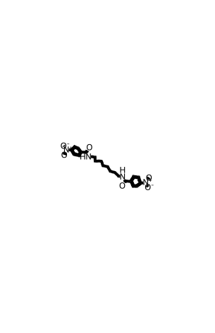 O=C(NCCCCCCCCNC(=O)c1ccc([N+](=O)[O-])cc1)c1ccc([N+](=O)[O-])cc1